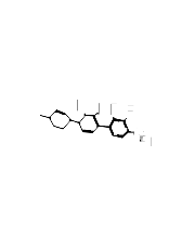 CCOc1ccc(C2=C(F)C(F)C(C3C=CC(C)CC3)C=C2)c(F)c1F